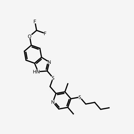 CCCCSc1c(C)cnc(CSc2nc3cc(OC(F)F)ccc3[nH]2)c1C